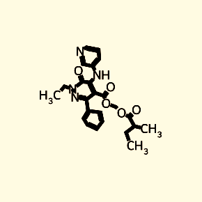 CCC(C)C(=O)OCOC(=O)c1c(-c2ccccc2)nn(CC)c(=O)c1Nc1cccnc1